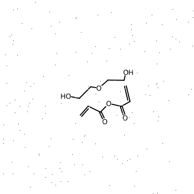 C=CC(=O)OC(=O)C=C.OCCOCCO